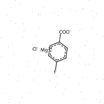 O=C([O-])c1ccc(F)cc1.[Cl-].[Mg+2]